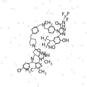 CC(=N)N1C(=N)C(CC(=O)N2CCC(Cc3ccc(CN(C)Cc4ccc(-n5c(C(=O)NCC(F)(F)F)nnc5-c5cc(C(C)C)c(O)cc5O)cc4)cc3)CC2)N=C(c2ccc(Cl)cc2)c2c1sc(C)c2C